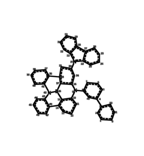 c1ccc(-c2cccc(N3c4cccc5c4B4c6c(cc(-n7c8ccccc8c8ccccc87)cc63)-c3ccccc3N4c3ccccc3-5)c2)cc1